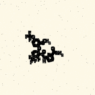 COc1cc(OC(F)(F)F)ccc1Oc1ccc(C(F)(F)F)c(F)c1C(=O)Nc1cccc(C(N)=O)n1